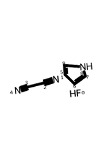 F.N#CC#N.c1cc[nH]c1